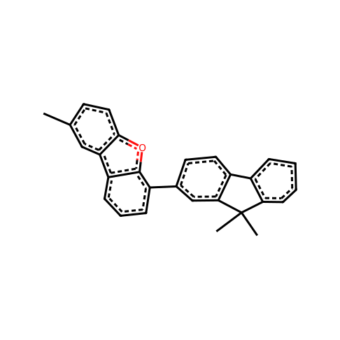 Cc1ccc2oc3c(-c4ccc5c(c4)C(C)(C)c4ccccc4-5)cccc3c2c1